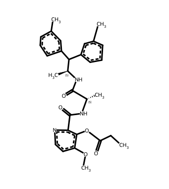 CCC(=O)Oc1c(OC)ccnc1C(=O)N[C@@H](C)C(=O)N[C@@H](C)C(c1cccc(C)c1)c1cccc(C)c1